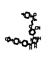 CN1CCN(C(=O)N(C)CCOC2=CC[C@@H](C3=NC(NC4=CC[C@H](N5CCN(C6COC6)CC5)CC4)NCN3)C[C@H]2C#N)CC1